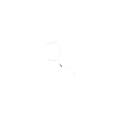 CC1CC=CC[C@H]1OCN